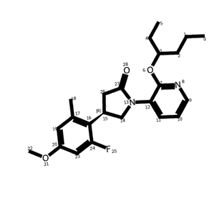 CCCC(CC)Oc1ncccc1N1C[C@@H](c2c(C)cc(OC)cc2F)CC1=O